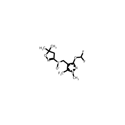 Cn1nc(OC(F)F)c(C[S+]([O-])C2=NOC(C)(C)C2)c1C(F)(F)F